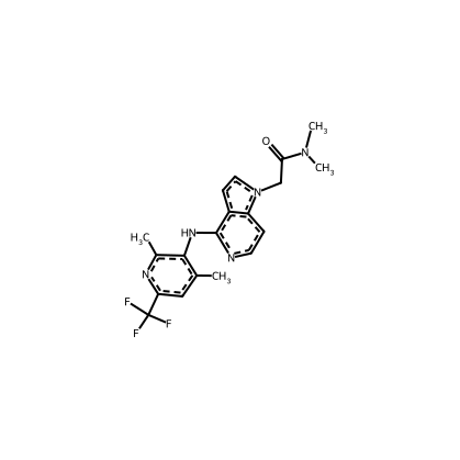 Cc1cc(C(F)(F)F)nc(C)c1Nc1nccc2c1ccn2CC(=O)N(C)C